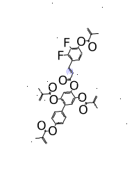 C=C(C)C(=O)Oc1ccc(-c2cc(OC(=O)C(=C)C)c(OC(=O)/C=C/c3ccc(OC(=O)C(=C)C)c(F)c3F)cc2OC(=O)C(=C)C)cc1